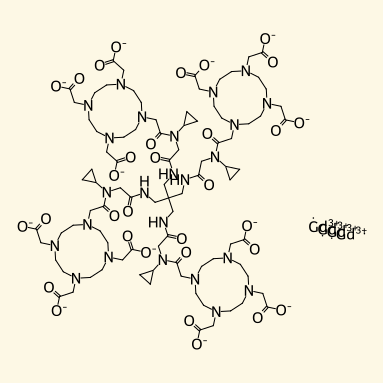 O=C([O-])CN1CCN(CC(=O)[O-])CCN(CC(=O)N(CC(=O)NCC(CNC(=O)CN(C(=O)CN2CCN(CC(=O)[O-])CCN(CC(=O)[O-])CCN(CC(=O)[O-])CC2)C2CC2)(CNC(=O)CN(C(=O)CN2CCN(CC(=O)[O-])CCN(CC(=O)[O-])CCN(CC(=O)[O-])CC2)C2CC2)CNC(=O)CN(C(=O)CN2CCN(CC(=O)[O-])CCN(CC(=O)[O-])CCN(CC(=O)[O-])CC2)C2CC2)C2CC2)CCN(CC(=O)[O-])CC1.[Gd+3].[Gd+3].[Gd+3].[Gd+3]